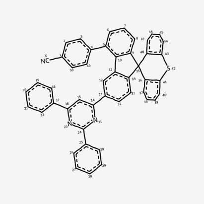 N#Cc1ccc(-c2cccc3c2-c2cc(-c4cc(-c5ccccc5)nc(-c5ccccc5)n4)ccc2C32c3ccccc3Sc3ccccc32)cc1